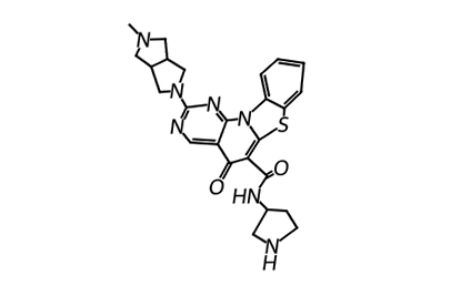 CN1CC2CN(c3ncc4c(=O)c(C(=O)NC5CCNC5)c5sc6ccccc6n5c4n3)CC2C1